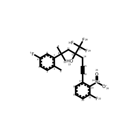 Cc1ccc(F)cc1C(C)(C)CC(O)(CC#Cc1cccc(F)c1[N+](=O)[O-])C(F)(F)F